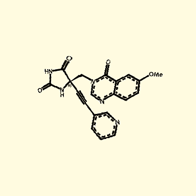 COc1ccc2ncn(C[C@@]3(C#Cc4cccnc4)NC(=O)NC3=O)c(=O)c2c1